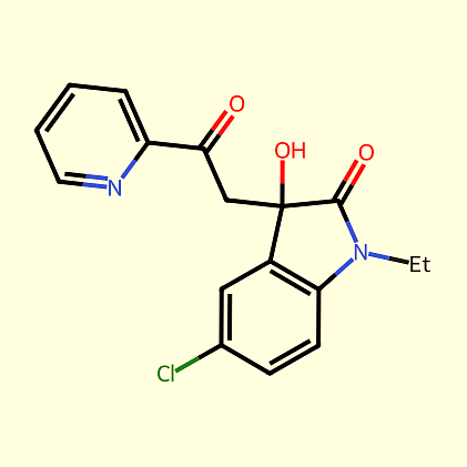 CCN1C(=O)C(O)(CC(=O)c2ccccn2)c2cc(Cl)ccc21